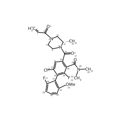 C=CC(=O)N1CCN(C(=O)c2cc(Cl)c(-c3c(F)cccc3OC)c(F)c2C(=O)N(C)C)[C@@H](C)C1